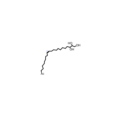 CC(=O)CCCCCCCC/C=C\CCCCCCCCC(O)C(O)CO